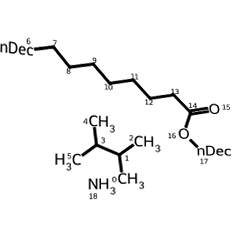 CC(C)C(C)C.CCCCCCCCCCCCCCCCCC(=O)OCCCCCCCCCC.N